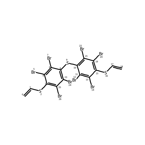 C=CSc1c(Br)c(Br)c(Sc2c(Br)c(Br)c(SC=C)c(Br)c2Br)c(Br)c1Br